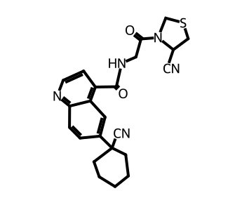 N#CC1CSCN1C(=O)CNC(=O)c1ccnc2ccc(C3(C#N)CCCCC3)cc12